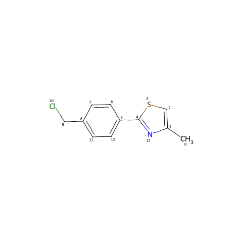 Cc1csc(-c2ccc(CCl)cc2)n1